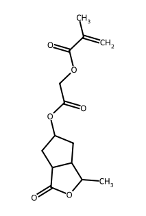 C=C(C)C(=O)OCC(=O)OC1CC2C(=O)OC(C)C2C1